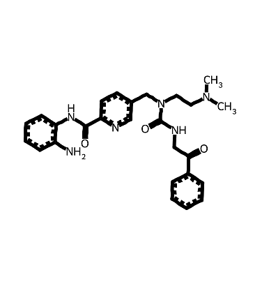 CN(C)CCN(Cc1ccc(C(=O)Nc2ccccc2N)nc1)C(=O)NCC(=O)c1ccccc1